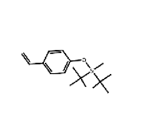 C=Cc1ccc(O[Si](C)(C(C)(C)C)C(C)(C)C)cc1